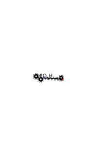 O=C(O)c1c(/C=C/CCCCCC=CCC23CCC(CC2)C3)cccc1-c1ccccc1